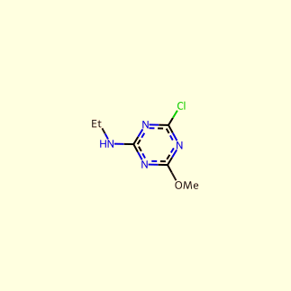 CCNc1nc(Cl)nc(OC)n1